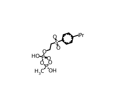 CC(C)c1ccc(S(=O)(=O)CCOP(=O)(O)OP(C)(=O)O)cc1